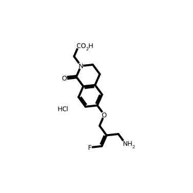 Cl.NC/C(=C/F)COc1ccc2c(c1)CCN(CC(=O)O)C2=O